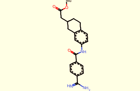 CCC(C)OC(=O)CC1CCc2ccc(NC(=O)c3ccc(C(=N)N)cc3)cc2C1